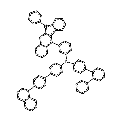 c1ccc(-c2ccccc2-c2ccc(N(c3ccc(-c4ccc(-c5cccc6ccccc56)cc4)cc3)c3cccc(-c4c5ccccc5cc5c4c4ccccc4n5-c4ccccc4)c3)cc2)cc1